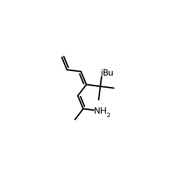 C=C/C=C(\C=C(\C)N)C(C)(C)C(C)CC